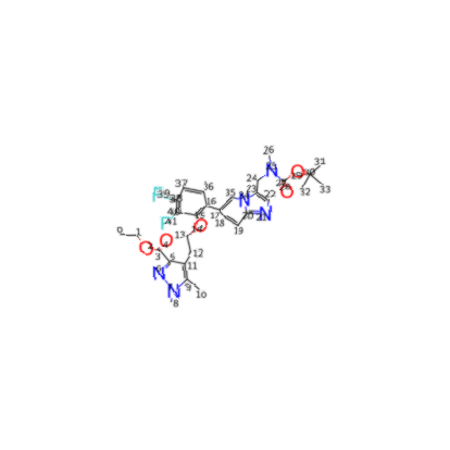 CCOC(=O)c1nn(C)c(C)c1CCOc1c(-c2ccc3ncc(CN(C)C(=O)OC(C)(C)C)n3c2)ccc(F)c1F